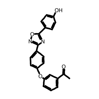 CC(=O)c1cccc(Oc2ccc(-c3noc(-c4ccc(O)cc4)n3)cc2)c1